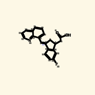 O=C(O)CC1C/C(=C\c2cccc3cccnc23)c2ccc(F)cc21